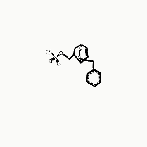 O=S(=O)(OCC1CC2C=CC1N(Cc1ccccc1)C2)C(F)(F)F